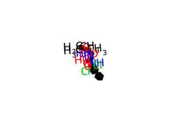 C[C@H](NC(=O)OC(C)(C)C)C(=O)NCC(NC(=O)c1c(Cl)cc(-c2ccccc2)cc1Cl)C(=O)O